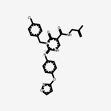 C=C(C)CNC(=O)c1c[nH]/c(=N\c2ccc(Oc3ccon3)cc2)n(Cc2ccc(Cl)cc2)c1=O